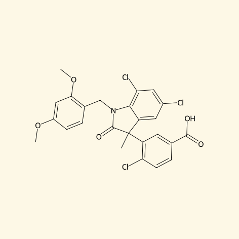 COc1ccc(CN2C(=O)C(C)(c3cc(C(=O)O)ccc3Cl)c3cc(Cl)cc(Cl)c32)c(OC)c1